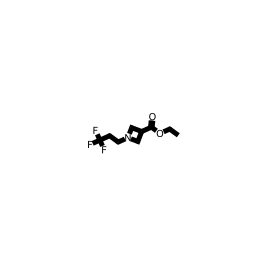 CCOC(=O)C1CN(CCC(F)(F)F)C1